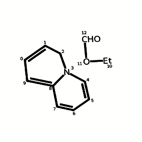 C1=CCN2C=CC=CC2=C1.CCOC=O